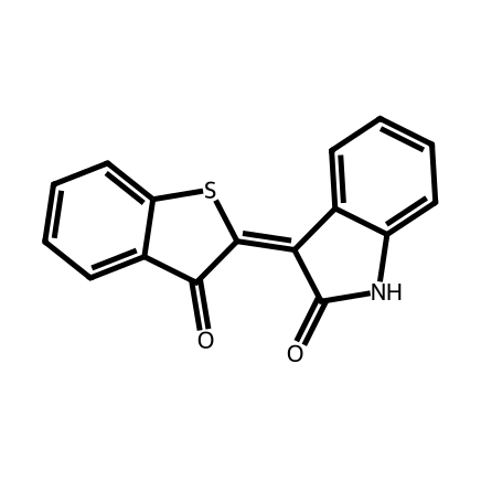 O=C1Nc2ccccc2C1=C1Sc2ccccc2C1=O